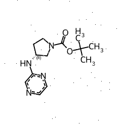 CC(C)(C)OC(=O)N1CC[C@@H](Nc2cnccn2)C1